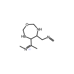 C=NCC1NCOCBC1/C(C)=N\C